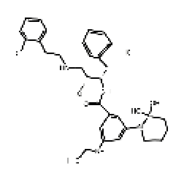 CCNc1cc(C(=O)N[C@@H](Cc2ccccc2)[C@H](O)CNCCc2ccccc2Cl)cc(N2CCCCS2(O)O)c1.Cl